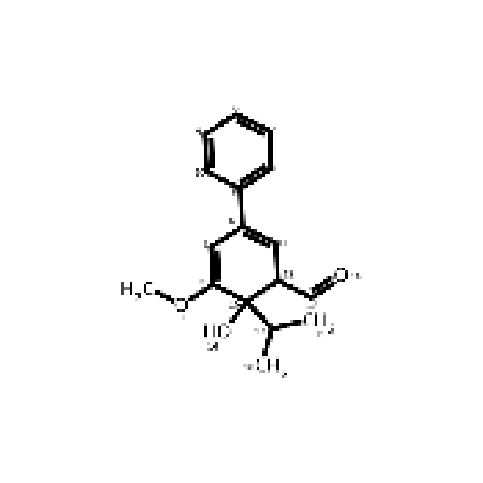 COC1=CC(c2ccccc2)=CC(C=O)C1(O)C(C)C